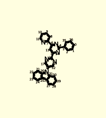 c1ccc(-c2nc(-c3ccccn3)cc(-c3ncc(-n4c5ccccc5c5ccccc54)cn3)n2)cc1